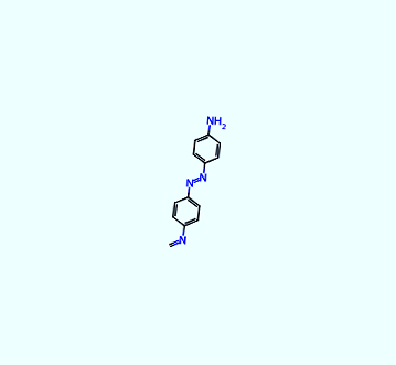 C=Nc1ccc(N=Nc2ccc(N)cc2)cc1